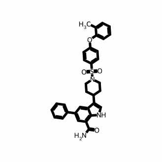 Cc1ccccc1Oc1ccc(S(=O)(=O)N2CCC(c3c[nH]c4c(C(N)=O)cc(-c5ccccc5)cc34)CC2)cc1